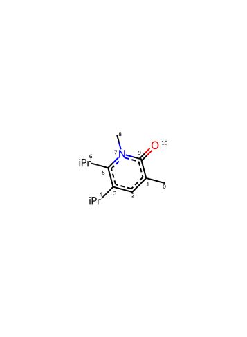 Cc1cc(C(C)C)c(C(C)C)n(C)c1=O